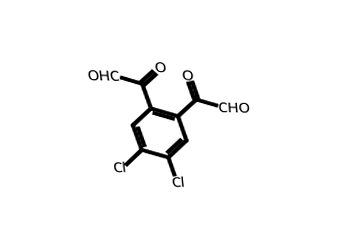 O=CC(=O)c1cc(Cl)c(Cl)cc1C(=O)C=O